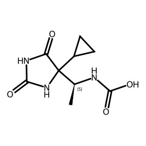 C[C@H](NC(=O)O)C1(C2CC2)NC(=O)NC1=O